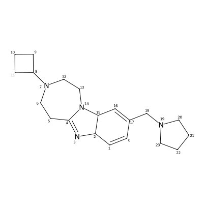 C1=CC2N=C3CCN(C4CCC4)CCN3C2C=C1CN1CCCC1